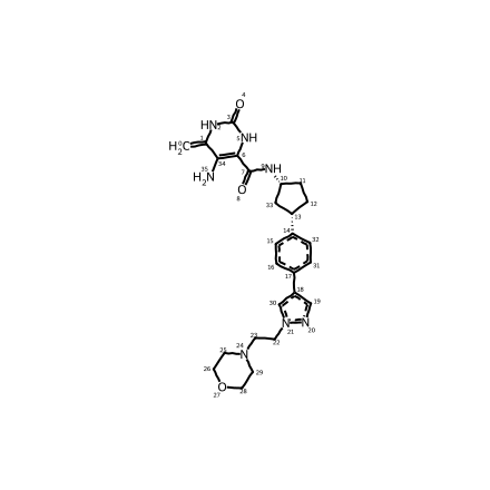 C=C1NC(=O)NC(C(=O)N[C@@H]2CC[C@H](c3ccc(-c4cnn(CCN5CCOCC5)c4)cc3)C2)=C1N